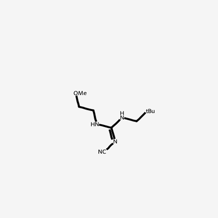 COCCN/C(=N\C#N)NCC(C)(C)C